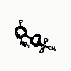 CS(=O)(=O)c1ccc(-c2cc(Cl)cnc2N)cc1